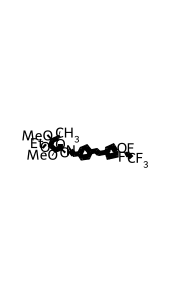 CCO[C@@H]1[C@@H](OC)[C@H](C)O[C@@H](ON=Cc2ccc(C=Cc3ccc(OC(F)(F)C(F)(F)F)cc3)cc2)[C@@H]1OC